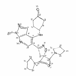 CCn1ncc2c(NC3CCC(=O)CC3)c(C3=NOC(C(=O)N4CCCC4)(C(=O)N4CCCC4)C3)cnc21